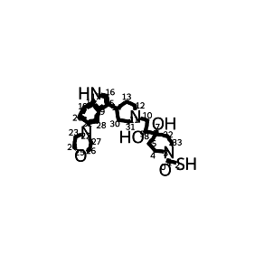 O=C(S)N1CCC(O)(C(O)CN2CCC(c3c[nH]c4ccc(N5CCOCC5)cc34)CC2)CC1